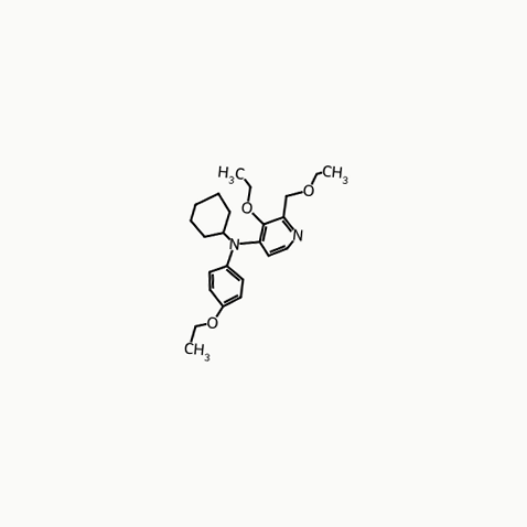 CCOCc1nccc(N(c2ccc(OCC)cc2)C2CCCCC2)c1OCC